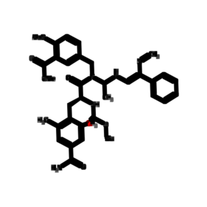 C=N/C(=C\NC(C)N(Cc1ccc(OC)c(C(=O)OC)c1)C(=O)[C@H](Cc1c(C)cc(C(N)=O)cc1C)NC(=O)OC(C)(C)C)c1ccccc1